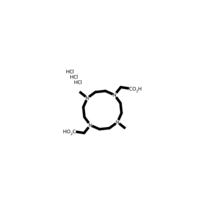 CN1CCN(CC(=O)O)CCN(C)CCN(CC(=O)O)CC1.Cl.Cl.Cl